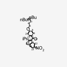 CCCCN(CCCC)CCCOc1ccc(C(=O)c2c(C(C)C)oc3ccc([N+](=O)[O-])cc23)cc1